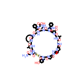 CC(C)C[C@@H]1NC(=O)C2CCCCCCCCC(NC(=O)[C@H](Cc3cn(CC(=O)O)c4ccccc34)NC(=O)[C@H](CCN)NC(=O)[C@H](Cc3c[nH]c4ccccc34)NC(=O)[C@@H]3C[C@@H](O)CN3C(=O)[C@H](CC(C)C)NC(=O)CNC(=O)[C@H]3CCC4CC[C@@H](NC(=O)[C@@H]5CCCN5C(=O)[C@H](Cc5ccc(O)cc5)NC(=O)CSC[C@@H](C(=O)NCC(N)=O)N(C)C1=O)C(=O)N43)C(=O)N2C